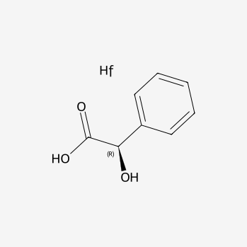 O=C(O)[C@H](O)c1ccccc1.[Hf]